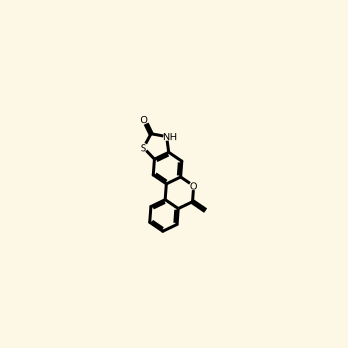 C=C1Oc2cc3[nH]c(=O)sc3cc2-c2ccccc21